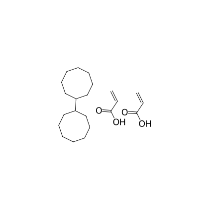 C1CCCC(C2CCCCCCC2)CCC1.C=CC(=O)O.C=CC(=O)O